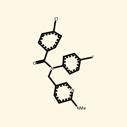 CNc1ccc(CN(C(=O)c2ccc(Cl)cc2)c2ccc(F)cc2)cn1